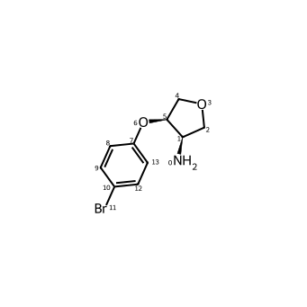 N[C@@H]1COC[C@@H]1Oc1ccc(Br)cc1